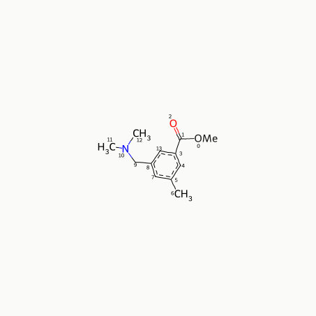 COC(=O)c1cc(C)cc(CN(C)C)c1